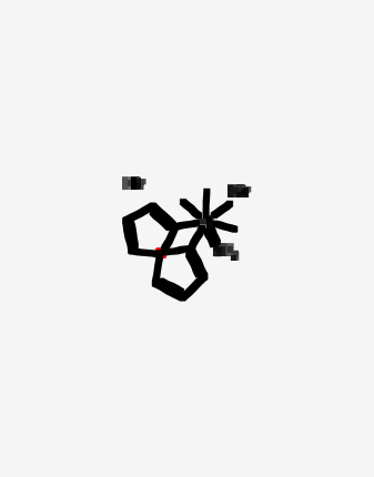 Br.Br.[CH3][Hf]([CH3])([CH3])([CH3])(=[SiH2])([C]1=CC=CC1)[C]1=CC=CC1